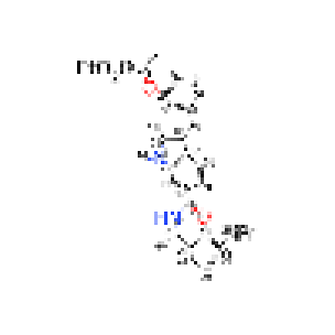 CCOC(=O)C(C)Oc1cccc(Cc2c(C)n(C)c3cc(C(=O)N[C@@H](C)c4cccc(C(C)C)c4)ccc23)c1